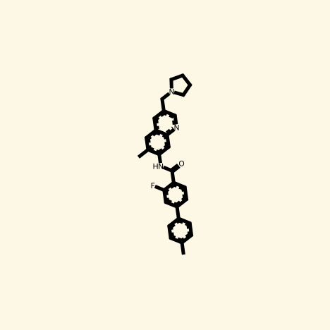 Cc1ccc(-c2ccc(C(=O)Nc3cc4ncc(CN5CCCC5)cc4cc3C)c(F)c2)cc1